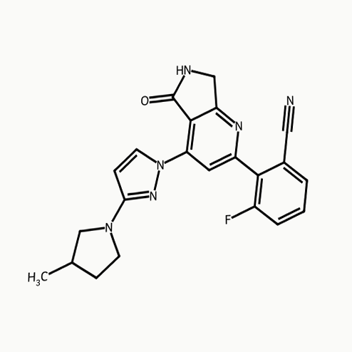 CC1CCN(c2ccn(-c3cc(-c4c(F)cccc4C#N)nc4c3C(=O)NC4)n2)C1